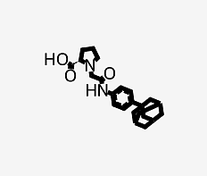 O=C(CN1CCC[C@H]1C(=O)O)Nc1ccc(C23CC4CC(CC(C4)C2)C3)cc1